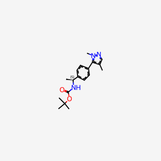 Cc1cnn(C)c1-c1ccc([C@H](C)NC(=O)OC(C)(C)C)cc1